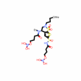 CCN(C(=O)CCCON(O)O)[C@H]1CN(CCCOC)S(=O)(=O)c2sc([S+]([O-])NC(=O)CCCON(O)O)cc21